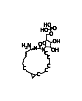 NC1=N/C(=O)N(C2OC(COP(=O)(O)O)C(O)C2O)CCCCCCCC2CC2CCCC\C=C\1